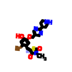 CN1C(=O)S/C(=C\c2cc(OCc3cnc(C4CCNCC4)nc3)c(O)cc2Br)C1=O